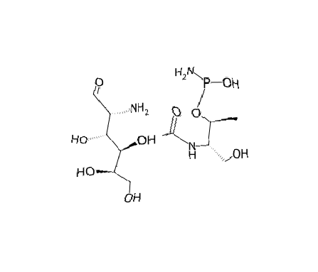 CC(=O)N[C@@H](CO)[C@H](C)OP(N)O.N[C@@H](C=O)[C@@H](O)[C@@H](O)[C@H](O)CO